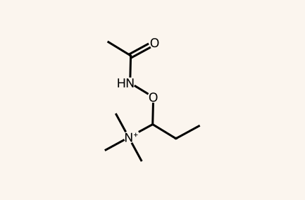 CCC(ONC(C)=O)[N+](C)(C)C